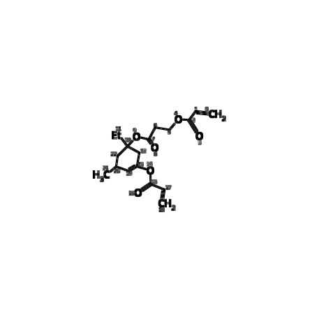 C=CC(=O)OCCC(=O)OC1(CC)CC(OC(=O)C=C)=CC(C)C1